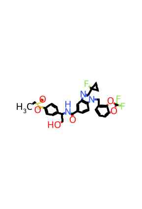 CCS(=O)(=O)c1ccc(C(CO)NC(=O)c2ccc3c(c2)nc(C2(F)CC2)n3Cc2cccc3c2OC(F)(F)O3)cc1